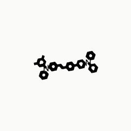 CC1=CC(C)CC(N(c2ccccc2)c2ccc(/C=C/c3ccc(C4=CC=C(N(c5ccccc5)C5C=CC=CC5)CC4)cc3)cc2)=C1